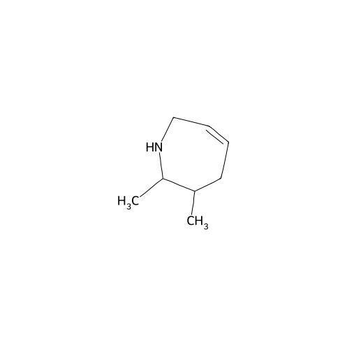 CC1CC=CCNC1C